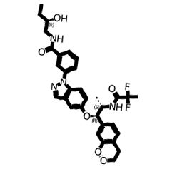 CC[C@@H](O)CNC(=O)c1cccc(-n2ncc3cc(O[C@H](c4ccc5c(c4)OOCC5)[C@H](C)NC(=O)C(C)(F)F)ccc32)c1